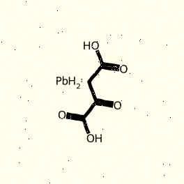 O=C(O)CC(=O)C(=O)O.[PbH2]